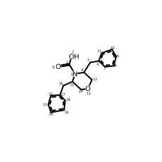 O=C(O)N1C(Cc2ccccc2)COCC1Cc1ccccc1